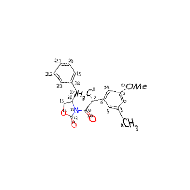 COc1cc(C)cc([C@@H](C)C(=O)N2C(=O)OC[C@H]2Cc2ccccc2)c1